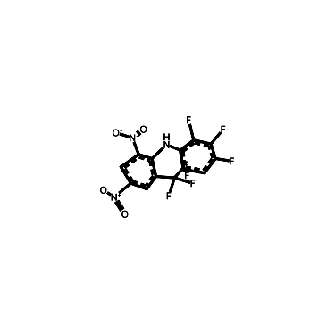 O=[N+]([O-])c1cc([N+](=O)[O-])c(Nc2c(F)cc(F)c(F)c2F)c(C(F)(F)F)c1